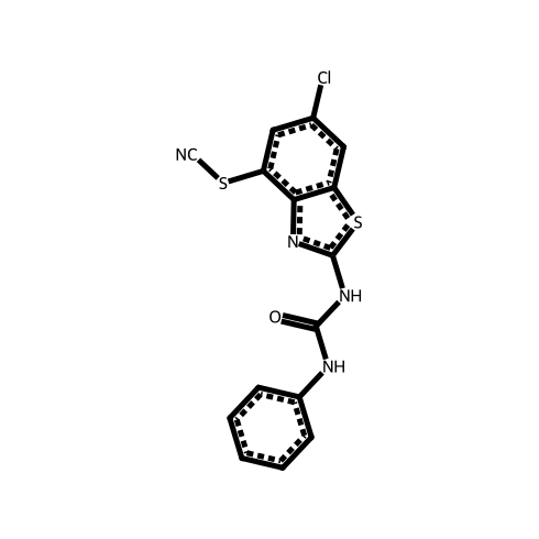 N#CSc1cc(Cl)cc2sc(NC(=O)Nc3ccccc3)nc12